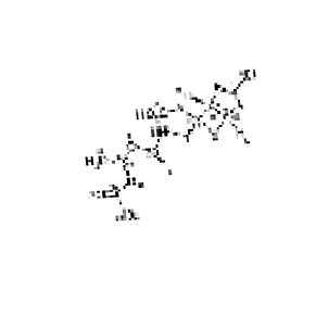 CCC1=C[C@@H]2[C@@H](C1)C[C@]2(CNC(=O)O[C@@H](C)OC(=O)C(C)CC)CC(=O)O